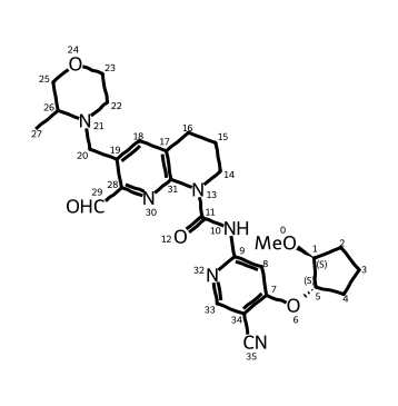 CO[C@H]1CCC[C@@H]1Oc1cc(NC(=O)N2CCCc3cc(CN4CCOCC4C)c(C=O)nc32)ncc1C#N